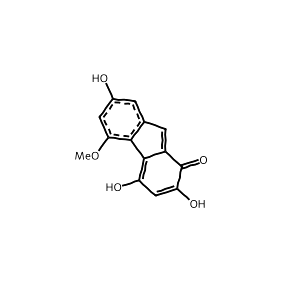 COc1cc(O)cc2c1C1=C(O)C=C(O)C(=O)C1=C2